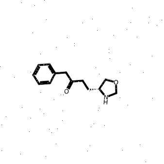 O=C(CC[C@@H]1COCN1)Cc1ccccc1